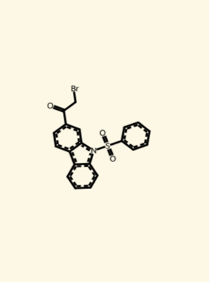 O=C(CBr)c1ccc2c3ccccc3n(S(=O)(=O)c3ccccc3)c2c1